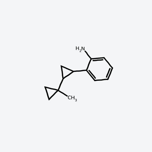 CC1(C2CC2c2ccccc2N)CC1